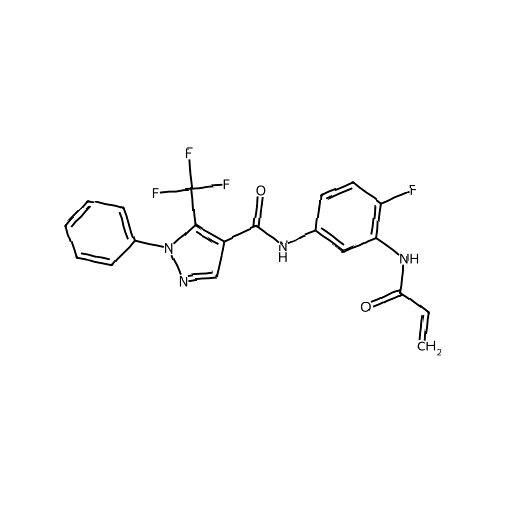 C=CC(=O)Nc1cc(NC(=O)c2cnn(-c3ccccc3)c2C(F)(F)F)ccc1F